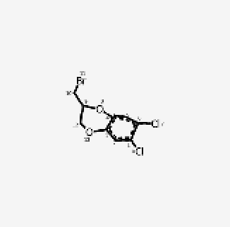 Clc1cc2c(cc1Cl)OC(CBr)CO2